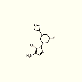 Nc1cnn([C@@H]2C[C@H](F)CN(C3COC3)C2)c1Cl